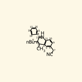 CCCC[C@@H]1C(C)c2cc(CC#N)ccc2N[C@H]1c1ccccc1